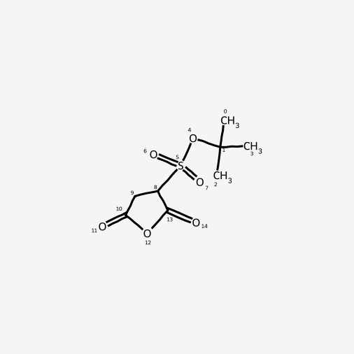 CC(C)(C)OS(=O)(=O)C1CC(=O)OC1=O